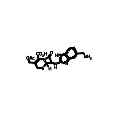 CC(=O)OCC1=C(C(=O)O)N2C(=O)C(Nc3nc4cc(CN)ccc4[nH]3)[C@@H]2SC1